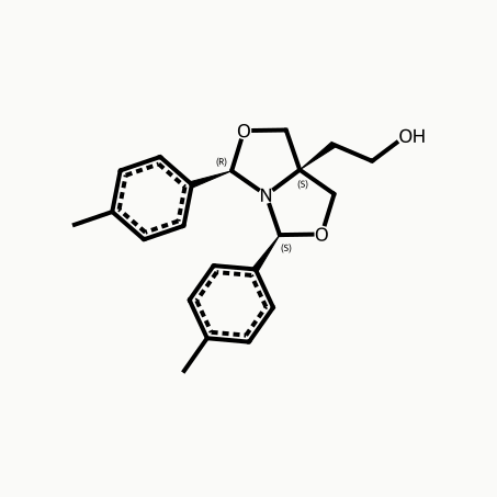 Cc1ccc([C@H]2OC[C@]3(CCO)CO[C@@H](c4ccc(C)cc4)N23)cc1